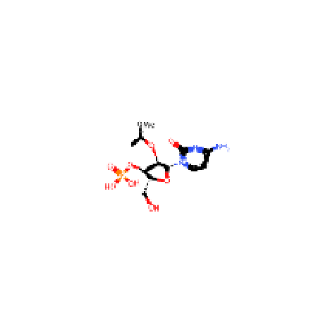 COC(C)O[C@@H]1[C@H](OP(=O)(O)O)[C@@H](CO)O[C@H]1n1ccc(N)nc1=O